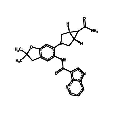 CC1(C)Cc2cc(NC(=O)c3cnn4cccnc34)c(N3C[C@@H]4C(C(N)=O)[C@@H]4C3)cc2O1